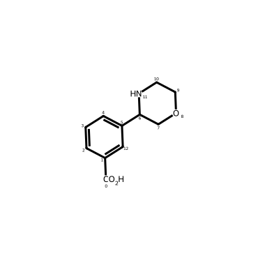 O=C(O)c1cccc(C2COCCN2)c1